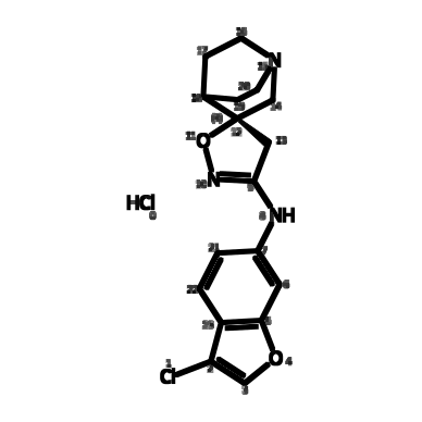 Cl.Clc1coc2cc(NC3=NO[C@@]4(C3)CN3CCC4CC3)ccc12